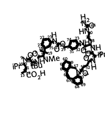 CNC(C(=O)N[C@H](C(=O)N(C)[C@H](/C=C(\C)C(=O)O)C(C)C)C(C)(C)C)C(C)(C)c1cccc(NC(=O)OCc2ccc(NC(=O)[C@H](CCCNC(N)=O)NC(=O)[C@@H](NC(=O)CCC(=O)N3Cc4ccccc4C#Cc4ccccc43)C(C)C)cc2)c1